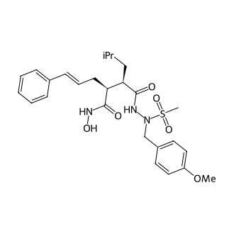 COc1ccc(CN(NC(=O)[C@H](CC(C)C)[C@H](CC=Cc2ccccc2)C(=O)NO)S(C)(=O)=O)cc1